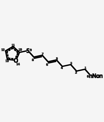 CCCCCCCCCCCCC/C=C/C=C/Sc1ccco1